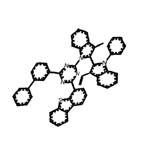 C=Cc1c(-c2c(C)c3ccccc3n2-c2nc(-c3cccc(-c4ccccc4)c3)nc(-c3cccc4c3sc3ccccc34)n2)n(-c2ccccc2)c2ccccc12